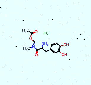 CC(=O)OCN(C)C(=O)C(N)Cc1ccc(O)c(O)c1.Cl